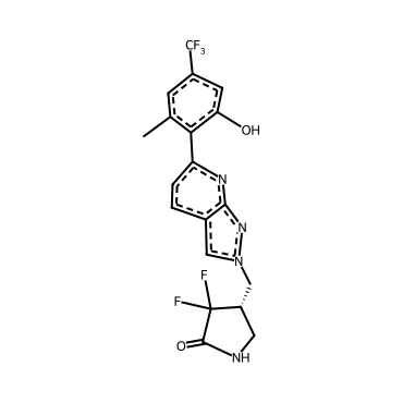 Cc1cc(C(F)(F)F)cc(O)c1-c1ccc2cn(C[C@@H]3CNC(=O)C3(F)F)nc2n1